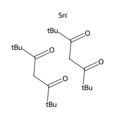 CC(C)(C)C(=O)CC(=O)C(C)(C)C.CC(C)(C)C(=O)CC(=O)C(C)(C)C.[Sn]